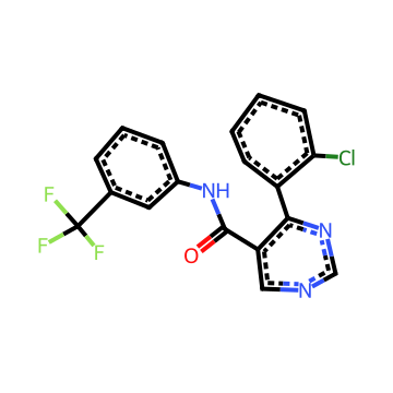 O=C(Nc1cccc(C(F)(F)F)c1)c1cncnc1-c1ccccc1Cl